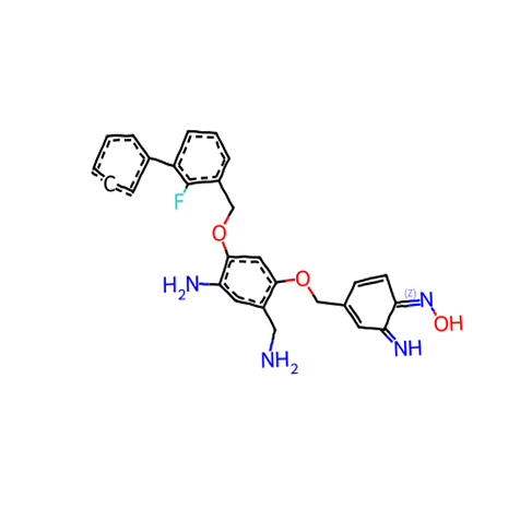 N=C1C=C(COc2cc(OCc3cccc(-c4ccccc4)c3F)c(N)cc2CN)C=C/C1=N/O